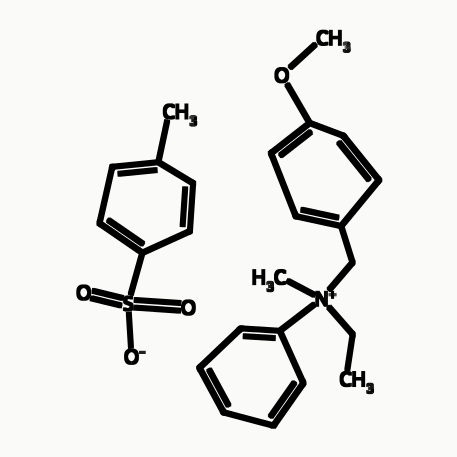 CC[N+](C)(Cc1ccc(OC)cc1)c1ccccc1.Cc1ccc(S(=O)(=O)[O-])cc1